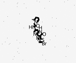 C[C@H]1CCCCN1CC(=O)Nc1cnc2c(c1)[nH]c(=O)c1c2nn2cc(Br)sc12